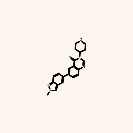 Cn1cc2cc(-c3ccc4ncn(C5CCNCC5)c(=O)c4c3)ccc2n1